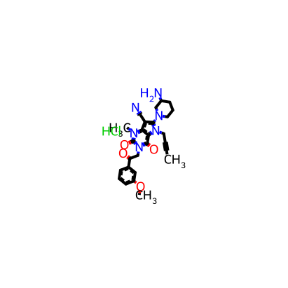 CC#CCn1c(N2CCCC(N)C2)c(C#N)c2c1c(=O)n(CC(=O)c1cccc(OC)c1)c(=O)n2C.Cl